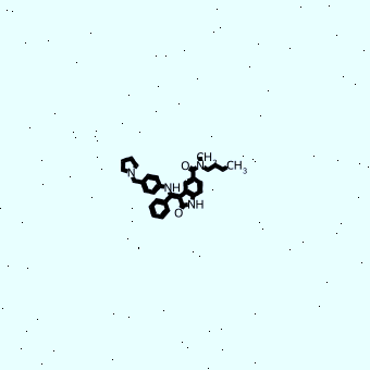 CCCCN(C)C(=O)c1ccc2c(c1)C(=C(Nc1ccc(CN3CCCC3)cc1)c1ccccc1)C(=O)N2